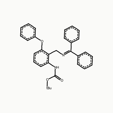 CC(C)(C)OC(=O)Nc1cccc(Oc2ccccc2)c1CN=C(c1ccccc1)c1ccccc1